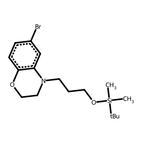 CC(C)(C)[Si](C)(C)OCCCN1CCOc2ccc(Br)cc21